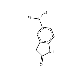 CCN(CC)c1ccc2c(c1)CC(=O)N2